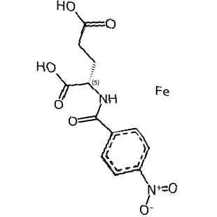 O=C(O)CC[C@H](NC(=O)c1ccc([N+](=O)[O-])cc1)C(=O)O.[Fe]